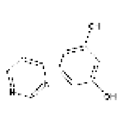 Oc1cccc(O)c1.c1cncnc1